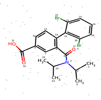 CC(C)N(C(=O)c1cc(C(=O)O)ccc1-c1c(Br)cccc1Br)C(C)C